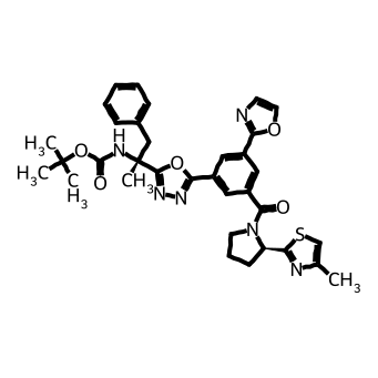 Cc1csc([C@H]2CCCN2C(=O)c2cc(-c3ncco3)cc(-c3nnc([C@@](C)(Cc4ccccc4)NC(=O)OC(C)(C)C)o3)c2)n1